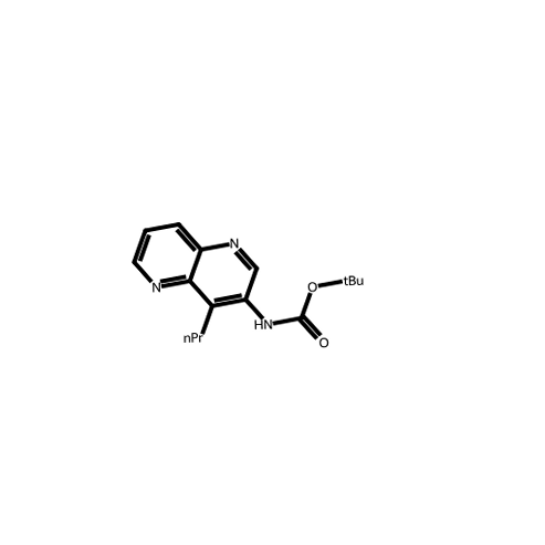 CCCc1c(NC(=O)OC(C)(C)C)cnc2cccnc12